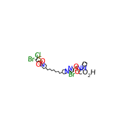 O=C(O)C(Cc1ccccc1)NS(=O)(=O)c1cnc(N2CCC(CCCCCCCC3CCN(S(=O)(=O)c4cc(Br)c(Cl)s4)CC3)CC2)c(Br)c1